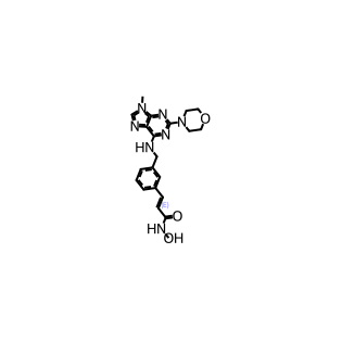 Cn1cnc2c(NCc3cccc(/C=C/C(=O)NO)c3)nc(N3CCOCC3)nc21